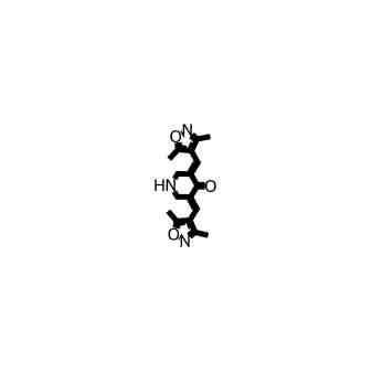 Cc1noc(C)c1/C=C1\CNC/C(=C\c2c(C)noc2C)C1=O